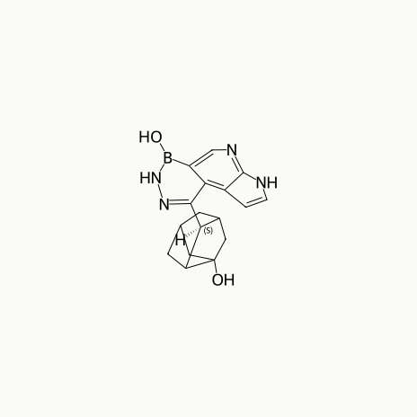 OB1NN=C([C@H]2C3CC4CC2C(O)(C4)C3)c2c1cnc1[nH]ccc21